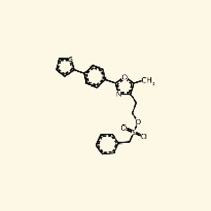 Cc1oc(-c2ccc(-c3cccs3)cc2)nc1CCOS(=O)(=O)Cc1ccccc1